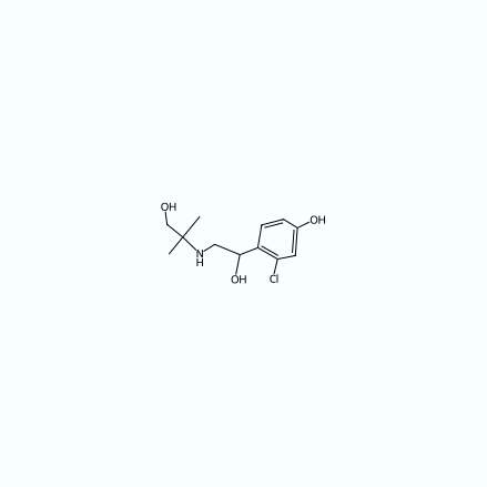 CC(C)(CO)NCC(O)c1ccc(O)cc1Cl